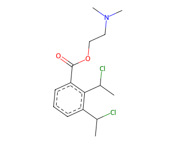 CC(Cl)c1cccc(C(=O)OCCN(C)C)c1C(C)Cl